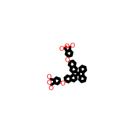 O=C1OC(=O)c2cc(Oc3ccc4cc(C5(c6ccc7cc(Oc8ccc9c(c8)C(=O)OC9=O)ccc7c6)c6ccccc6-c6ccccc65)ccc4c3)ccc21